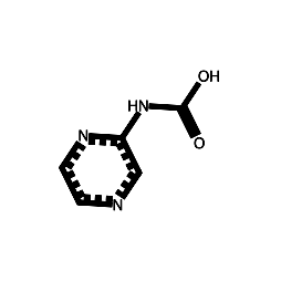 O=C(O)Nc1cnccn1